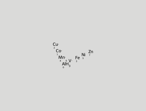 [AlH3].[Co].[Cu].[Fe].[Mn].[Ni].[V].[Zn]